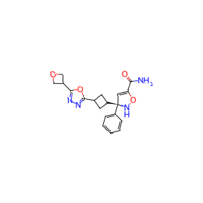 NC(=O)C1=C[C@](c2ccccc2)(C2CC(c3nnc(C4COC4)o3)C2)NO1